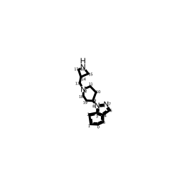 c1ccc2c(c1)cnn2C1CCN(CC2CNC2)CC1